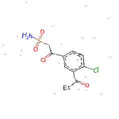 CCC(=O)c1cc(C(=O)CS(N)(=O)=O)ccc1Cl